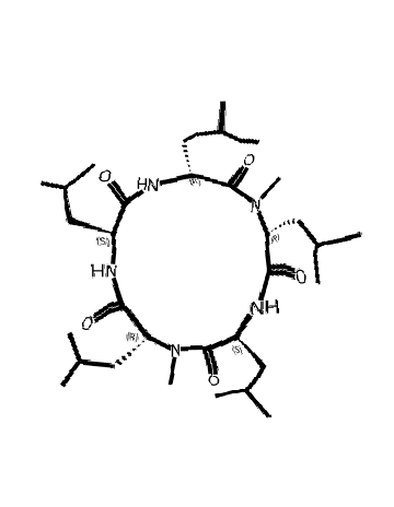 CC(C)C[C@@H]1NC(=O)[C@@H](CC(C)C)N(C)C(=O)[C@H](CC(C)C)NC(=O)[C@@H](CC(C)C)N(C)C(=O)[C@@H](CC(C)C)NC1=O